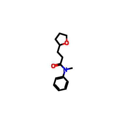 CN(C(=O)CCC1CCCO1)c1ccccc1